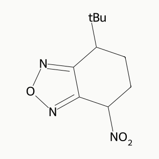 CC(C)(C)C1CCC([N+](=O)[O-])c2nonc21